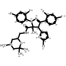 CN1CC(CNC(=O)C2(C)C(c3ccc(Cl)o3)C(c3ccc(F)cc3F)=NN2c2ccc(F)cc2F)OC(C)(C)C1